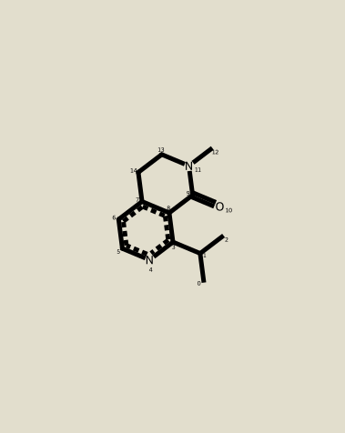 CC(C)c1nccc2c1C(=O)N(C)CC2